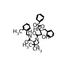 Cc1ccccc1CNC(=O)[C@H]1N(C(=O)[C@@H](O)[C@H](Cc2ccccc2)NS(=O)(=O)c2ccccc2)CSC1(C)C